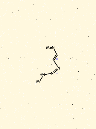 CN/C=C/N=N\NC(C)C